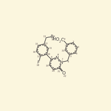 O=C(O)c1cccc(Cn2nc(-c3cc(CBr)ccc3F)ccc2=O)c1